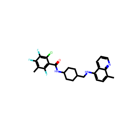 Cc1c(F)c(F)c(Cl)c(C(=O)NC2CCC(CNc3ccc(C)c4ncccc34)CC2)c1F